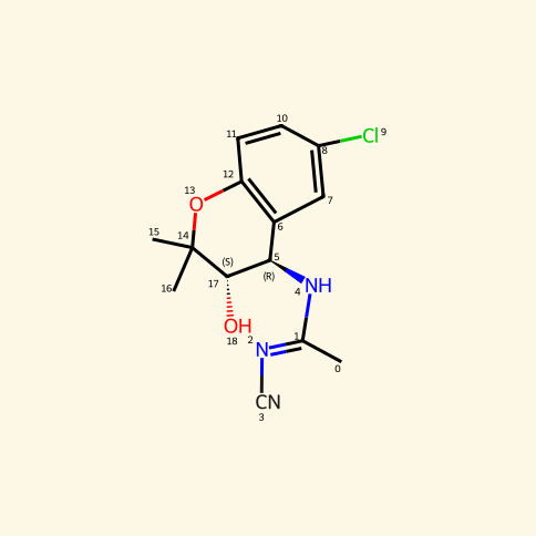 CC(=NC#N)N[C@@H]1c2cc(Cl)ccc2OC(C)(C)[C@H]1O